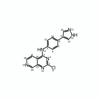 Clc1nc(Nc2ccc(-c3cn[nH]c3)cc2)c2ccncc2n1